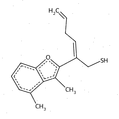 C=CC/C=C(/CS)c1oc2cccc(C)c2c1C